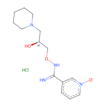 Cl.N=C(NOC[C@@H](O)CN1CCCCC1)c1ccc[n+]([O-])c1